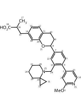 COc1cc(-c2ccc(C3CCc4ccc(CC(C)C(=O)O)cc4O3)cc2CN2CCCCC23CC3)ccn1